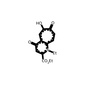 CCOC(=O)c1cc(=O)c2cc(O)c(=O)ccc2n1CC